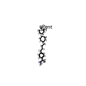 CCCCC[SiH]1CCC([C@H]2CC[C@H](CCCCc3ccc(/C(F)=C/F)cc3)CC2)CC1